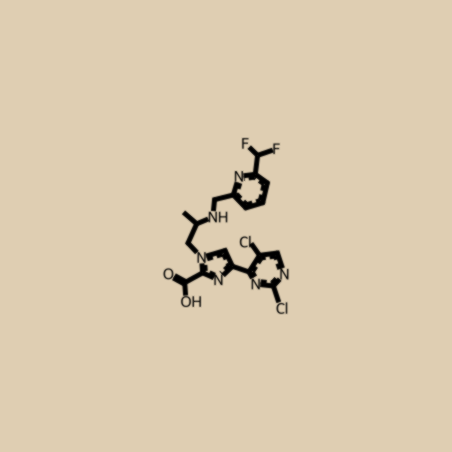 CC(Cn1cc(-c2nc(Cl)ncc2Cl)nc1C(=O)O)NCc1cccc(C(F)F)n1